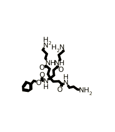 NCCCNC(=O)CCC(CCC(=O)NCCCN)(CCC(=O)NCCCN)NC(=O)OCc1ccccc1